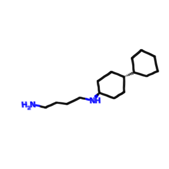 NCCCCN[C@H]1CC[C@H](C2CCCCC2)CC1